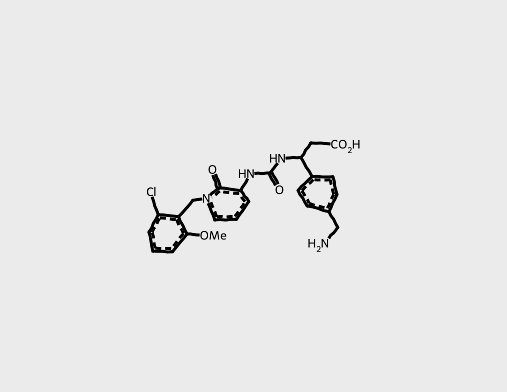 COc1cccc(Cl)c1Cn1cccc(NC(=O)NC(CC(=O)O)c2ccc(CN)cc2)c1=O